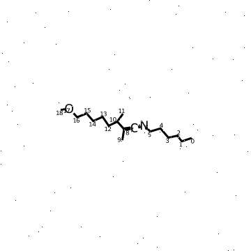 CCCCCCN=C=C(C)C(C)CCCCCOC